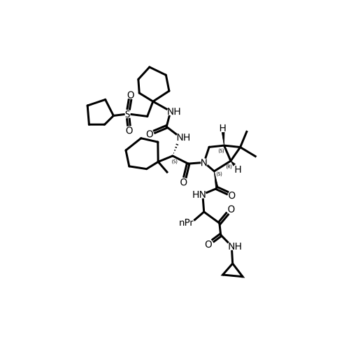 CCCC(NC(=O)[C@@H]1[C@@H]2[C@H](CN1C(=O)[C@@H](NC(=O)NC1(CS(=O)(=O)C3CCCC3)CCCCC1)C1(C)CCCCC1)C2(C)C)C(=O)C(=O)NC1CC1